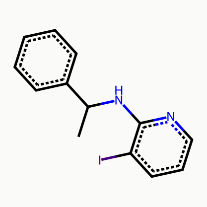 CC(Nc1ncccc1I)c1ccccc1